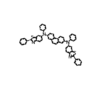 c1ccc(-c2nc3ccc(N(c4ccccc4)c4ccc5c(ccc6cc(N(c7ccccc7)c7ccc8nc(-c9ccccc9)sc8c7)ccc65)c4)cc3s2)cc1